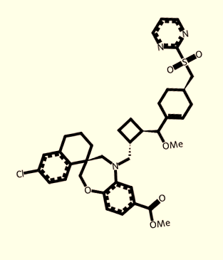 COC(=O)c1ccc2c(c1)N(C[C@@H]1CC[C@H]1C(OC)C1=CC[C@H](CS(=O)(=O)c3ncccn3)CC1)C[C@@]1(CCCc3cc(Cl)ccc31)CO2